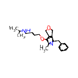 Cc1nc(Cc2ccccc2)c2c(c1OCCCCNC(C)C)COC2